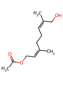 CC(=O)OCC=C(C)CCC=C(C)CO